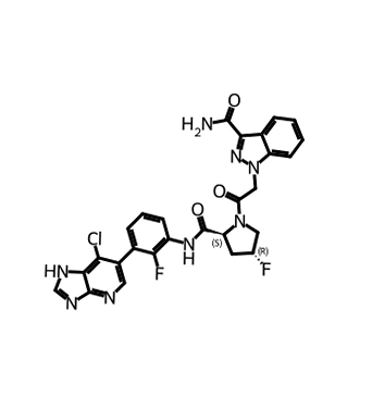 NC(=O)c1nn(CC(=O)N2C[C@H](F)C[C@H]2C(=O)Nc2cccc(-c3cnc4nc[nH]c4c3Cl)c2F)c2ccccc12